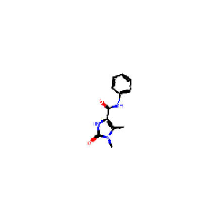 Cc1c(C(=O)Nc2ccccc2)[nH]c(=O)n1C